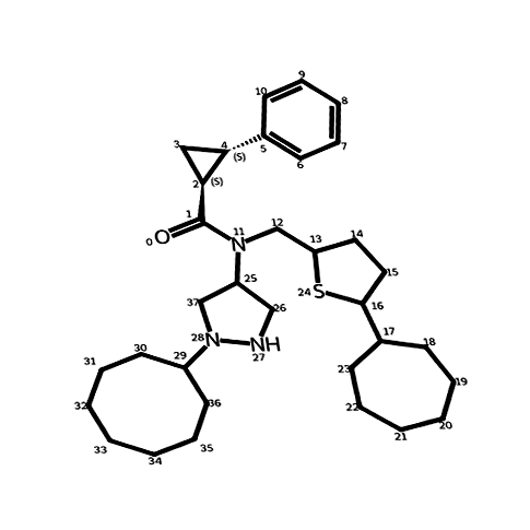 O=C([C@H]1C[C@@H]1c1ccccc1)N(CC1CCC(C2CCCCCC2)S1)C1CNN(C2CCCCCCC2)C1